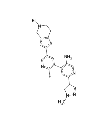 CCN1CCc2sc(-c3cnc(F)c(-c4cc(C5C=NN(C)C5)ncc4N)c3)cc2C1